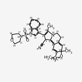 COC1=CC2=C3C(C#N)C(c4cn(S(=O)(=O)N5CCOCC5)c5ccccc45)=C(C)N3CCC2=CC1(C)OC